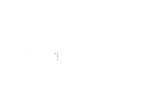 CCNCC(=O)c1ccc(Br)cc1